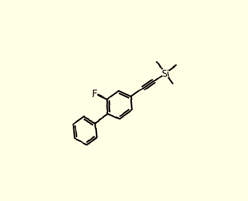 C[Si](C)(C)C#Cc1ccc(-c2ccccc2)c(F)c1